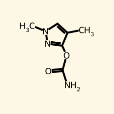 Cc1cn(C)nc1OC(N)=O